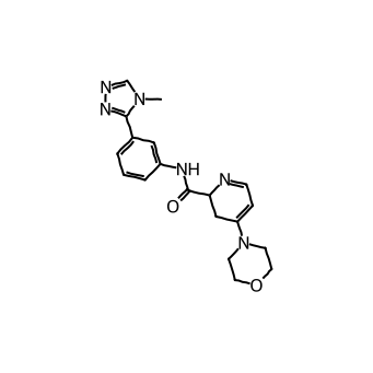 Cn1cnnc1-c1cccc(NC(=O)C2CC(N3CCOCC3)=CC=N2)c1